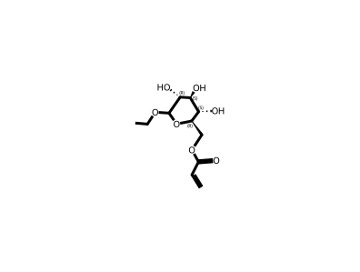 C=CC(=O)OC[C@H]1OC(OCC)[C@H](O)[C@@H](O)[C@@H]1O